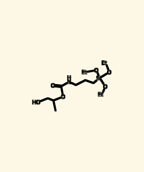 CCO[Si](CCCNC(=O)OC(C)CO)(OCC)OCC